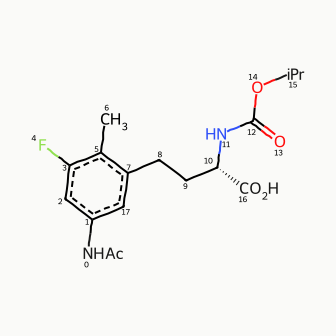 CC(=O)Nc1cc(F)c(C)c(CC[C@H](NC(=O)OC(C)C)C(=O)O)c1